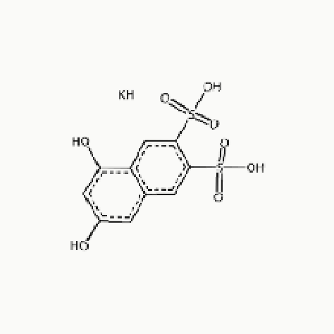 O=S(=O)(O)c1cc2cc(O)cc(O)c2cc1S(=O)(=O)O.[KH]